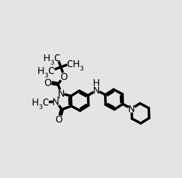 Cn1c(=O)c2ccc(Nc3ccc(N4CCCCC4)cc3)cc2n1C(=O)OC(C)(C)C